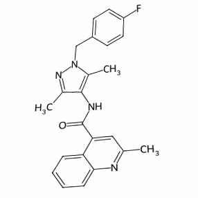 Cc1cc(C(=O)Nc2c(C)nn(Cc3ccc(F)cc3)c2C)c2ccccc2n1